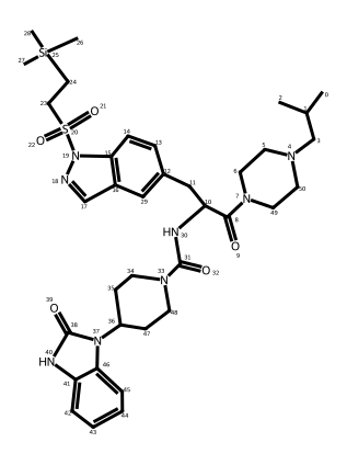 CC(C)CN1CCN(C(=O)C(Cc2ccc3c(cnn3S(=O)(=O)CC[Si](C)(C)C)c2)NC(=O)N2CCC(n3c(=O)[nH]c4ccccc43)CC2)CC1